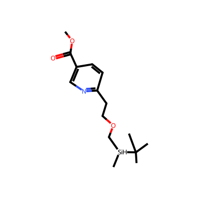 COC(=O)c1ccc(CCOC[SiH](C)C(C)(C)C)nc1